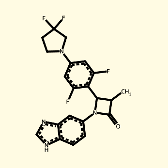 CC1C(=O)N(c2ccc3[nH]cnc3c2)C1c1c(F)cc(N2CCC(F)(F)C2)cc1F